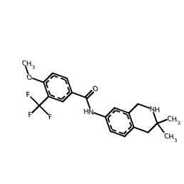 COc1ccc(C(=O)Nc2ccc3c(c2)CNC(C)(C)C3)cc1C(F)(F)F